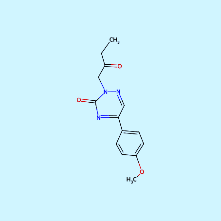 CCC(=O)Cn1ncc(-c2ccc(OC)cc2)nc1=O